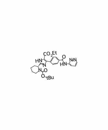 CCOC(=O)c1[nH]c([C@@H]2CCCCN2C(=O)OC(C)(C)C)nc1-c1ccc(C(=O)Nc2cccnn2)cc1